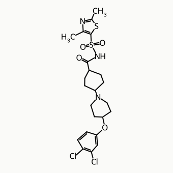 Cc1nc(C)c(S(=O)(=O)NC(=O)C2CCC(N3CCC(Oc4ccc(Cl)c(Cl)c4)CC3)CC2)s1